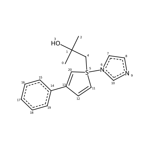 CC(C)(O)CS1(n2ccnc2)C=CC(c2ccccc2)=C1